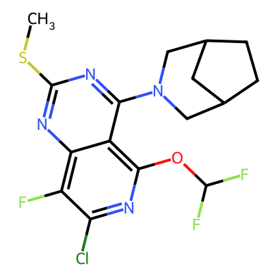 CSc1nc(N2CC3CCC(C3)C2)c2c(OC(F)F)nc(Cl)c(F)c2n1